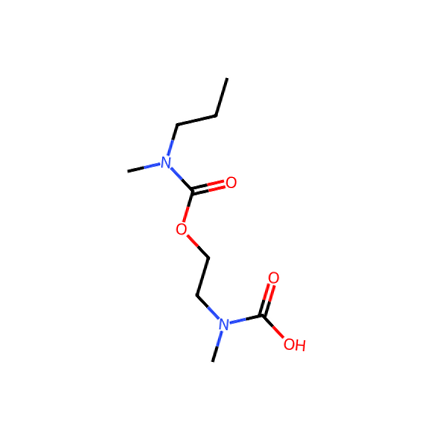 CCCN(C)C(=O)OCCN(C)C(=O)O